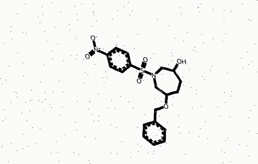 O=[N+]([O-])c1ccc(S(=O)(=O)N2CC(O)CCC(OCc3ccccc3)C2)cc1